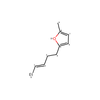 CCC=CCCc1ccc(C)o1